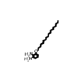 CCCCCCCCCCCCCCCCCCOc1cccc(N)c1N